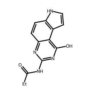 CCC(=O)Nc1nc(O)c2c(ccc3[nH]ccc32)n1